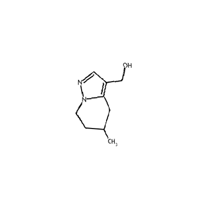 CC1CCn2ncc(CO)c2C1